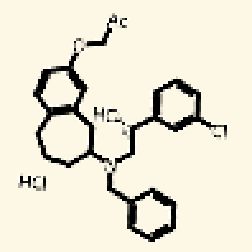 CC(=O)COc1ccc2c(c1)CC(N(Cc1ccccc1)C[C@H](O)c1cccc(Cl)c1)CCC2.Cl